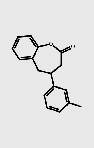 Cc1cccc(C2CC(=O)Oc3ccccc3C2)c1